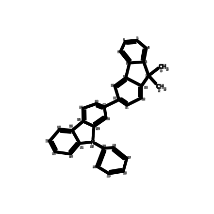 CC1(C)c2ccccc2-c2cc(-c3ccc4c5ccccc5n(-c5ccccc5)c4c3)ccc21